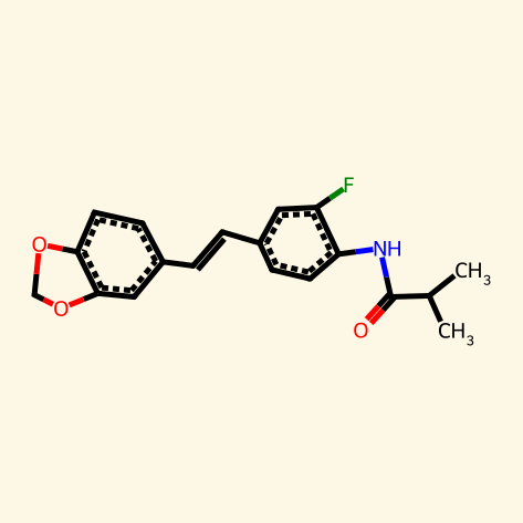 CC(C)C(=O)Nc1ccc(/C=C/c2ccc3c(c2)OCO3)cc1F